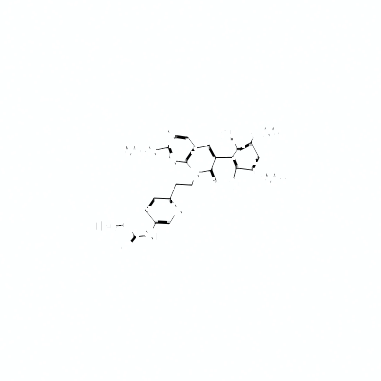 CNc1ncc2cc(-c3c(Cl)c(OC)cc(OC)c3Cl)c(=O)n(CCc3ccc(NC(=O)OC(C)(C)C)cn3)c2n1